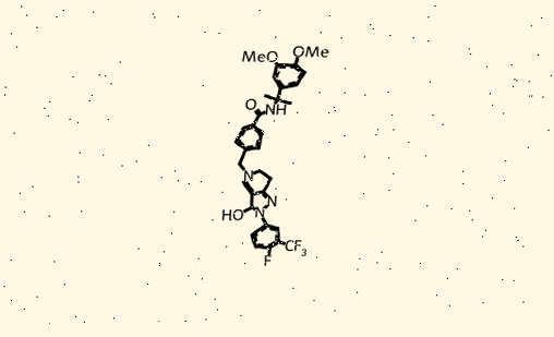 COc1ccc(C(C)(C)NC(=O)c2ccc(CN3C=C4C(=NN(c5ccc(F)c(C(F)(F)F)c5)C4O)CC3)cc2)cc1OC